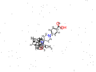 CC(=O)N(C1CCN(c2ccc(C(=O)O)cc2)CC1)[C@H]1C[C@H]2C[C@@H]([C@@H]1C)C2(C)C